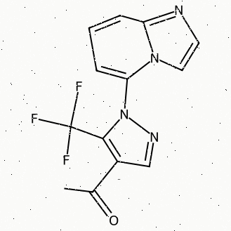 CC(=O)c1cnn(-c2cccc3nccn23)c1C(F)(F)F